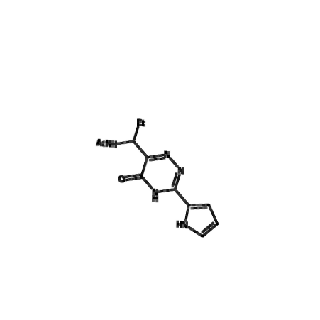 CCC(NC(C)=O)c1nnc(-c2ccc[nH]2)[nH]c1=O